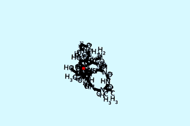 CC[C@H](C)[C@@H]1NC(=O)CNC(=O)[C@@H]2Cc3c4[nH]c5cc(ccc35)OC(CC(C)(C)CC(C)(C)N3C(=O)C=CC3=O)(C(=O)[C@H](CC(N)=O)NC(=O)C(CS4)NC(=O)CNC1=O)N1C[C@H](O)C[C@H]1C(=O)N[C@@H]([C@@H](C)[C@@H](O)CO)C(=O)N2